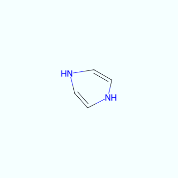 C1=CNC=CN1